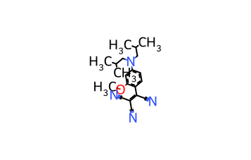 COc1cc(N(CC(C)C)CC(C)C)ccc1C(C#N)=C(C#N)C#N